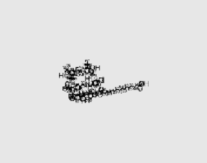 C#C[C@]1(O)CC[C@H]2[C@@H]3CCC4=Cc5oncc5C[C@]4(C)[C@H]3CC[C@@]21C.CC(C)(Oc1ccc(CCNC(=O)c2ccc(Cl)cc2)cc1)C(=O)O.CC(C)(Sc1cc(C(C)(C)C)c(O)c(C(C)(C)C)c1)Sc1cc(C(C)(C)C)c(O)c(C(C)(C)C)c1.O=C(O)CCCCCCCCCCCCCCC(=O)O